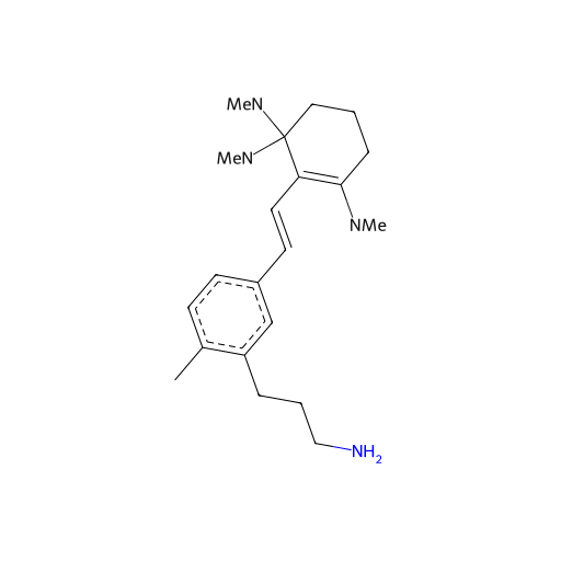 CNC1=C(/C=C/c2ccc(C)c(CCCN)c2)C(NC)(NC)CCC1